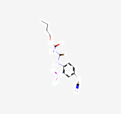 CCCCOC(=O)NC(=S)Nc1ccc(SC#N)cc1[N+](=O)[O-]